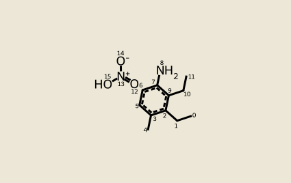 CCc1c(C)ccc(N)c1CC.O=[N+]([O-])O